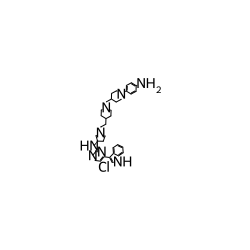 Nc1ccc(N2CCC(CN3CCC(CCN4CC[C@@H](Nc5ncc(Cl)c(-c6c[nH]c7ccccc67)n5)C4)CC3)CC2)cc1